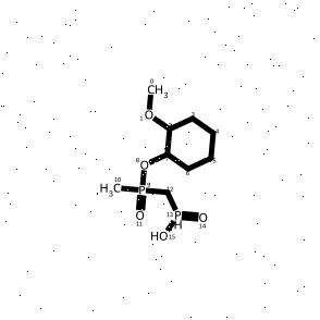 COC1CCCCC1OP(C)(=O)C[PH](=O)O